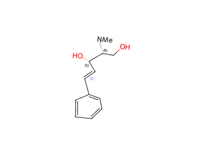 CN[C@H](CO)[C@@H](O)/C=C/c1ccccc1